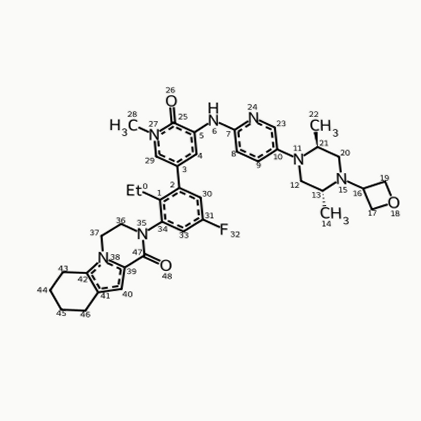 CCc1c(-c2cc(Nc3ccc(N4C[C@@H](C)N(C5COC5)C[C@@H]4C)cn3)c(=O)n(C)c2)cc(F)cc1N1CCn2c(cc3c2CCCC3)C1=O